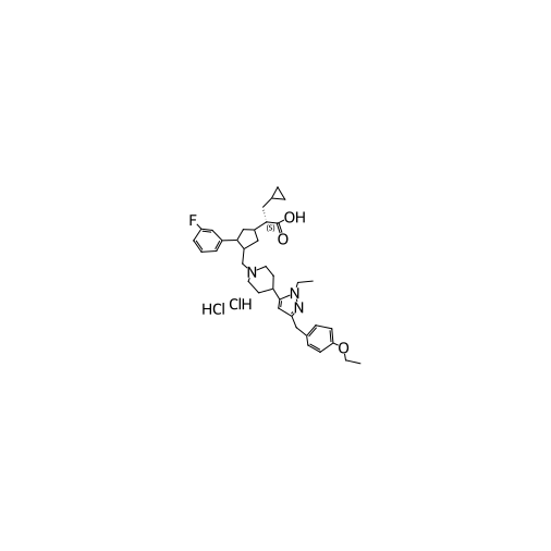 CCOc1ccc(Cc2cc(C3CCN(CC4CC([C@H](CC5CC5)C(=O)O)CC4c4cccc(F)c4)CC3)n(CC)n2)cc1.Cl.Cl